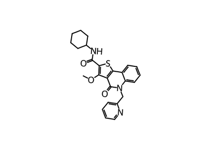 COc1c(C(=O)NC2CCCCC2)sc2c1c(=O)n(Cc1ccccn1)c1ccccc21